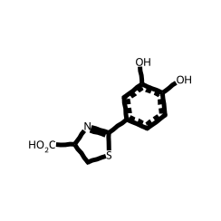 O=C(O)C1CSC(c2ccc(O)c(O)c2)=N1